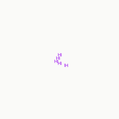 I.I.I.I.I